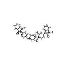 CC1(C(=O)N2CCC(n3c(=O)[nH]c4ccccc43)CC2)CCN(Cc2ccc(N3C(=O)c4ccccc4C3=O)nc2)CC1